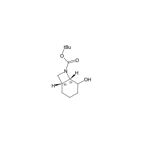 CC(C)(C)OC(=O)N1C[C@H]2CCCC(O)[C@H]21